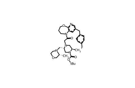 C[C@@H]1COCCN1C[C@H]1CN(C(=O)OC(C)(C)C)[C@H](C)CN1CC(=O)N1CCCOc2ncc(Cc3ccc(F)cc3)cc21